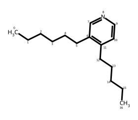 CCCCCCc1cnccc1CCCCC